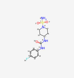 NS(=O)(=O)N1CCC(NC(=O)Nc2ccc(F)cc2)CC1